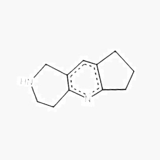 c1c2c(nc3c1CNCC3)CCC2